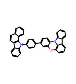 c1ccc2c(c1)ccc1c3ccccc3n(-c3ccc(-c4ccc5c(c4)Oc4cccc6c7ccccc7n-5c46)cc3)c21